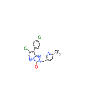 O=c1n(Cc2ccc(C(F)(F)F)nc2)nc2c(-c3ccc(Cl)cc3)c(Cl)cnn12